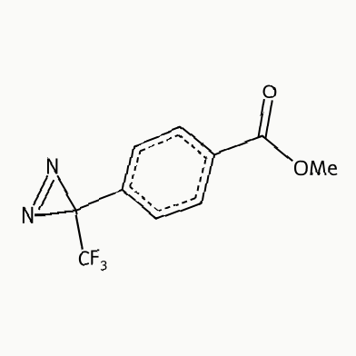 COC(=O)c1ccc(C2(C(F)(F)F)N=N2)cc1